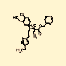 CCn1cc(CCC(c2ccc(Cl)c(CO)c2)C(C)(C)C(=O)OCc2ccccc2)nn1